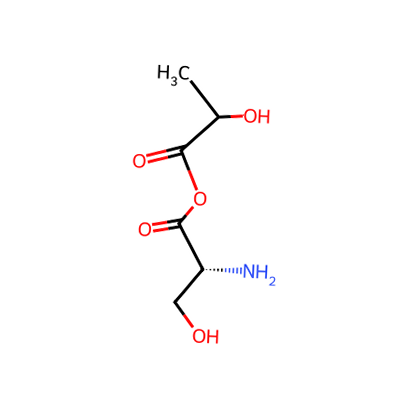 CC(O)C(=O)OC(=O)[C@H](N)CO